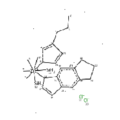 CCCC1=C[CH]([Zr]([CH3])([CH3])([CH3])([CH3])([SiH3])([SiH3])[CH]2C=Cc3cc4c(cc32)CCC4)C=C1.[Cl-].[Cl-]